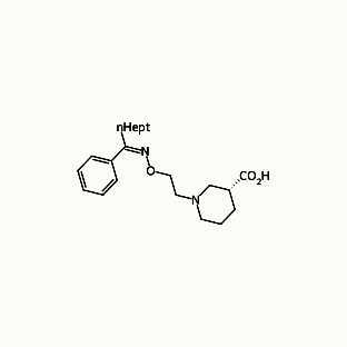 CCCCCCC/C(=N/OCCN1CCC[C@@H](C(=O)O)C1)c1ccccc1